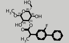 CO[C@H]1O[C@H](CO)[C@@H](O)[C@H](OC(=O)C(C)c2ccc(-c3ccccc3)c(F)c2)[C@H]1O